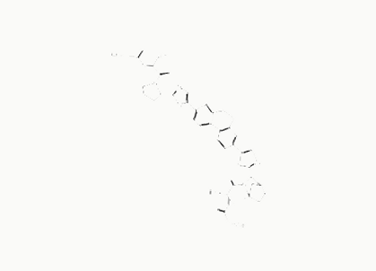 COC(=O)NC(C(=O)N1CCC[C@H]1c1ncc(-c2ccc3c(c2)CCc2cc(-c4cnc([C@@H]5[C@H]6CC[C@H](C6)N5C(=O)[C@@H](NC(=O)OC)C(C)C)[nH]4)ccc2-3)[nH]1)C(C)C